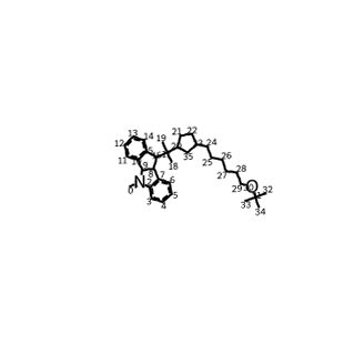 CN1c2ccccc2C2C1c1ccccc1C2C(C)(C)C1CCC(CCCCCCOC(C)(C)C)C1